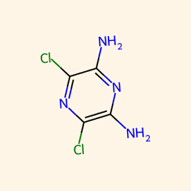 Nc1nc(N)c(Cl)nc1Cl